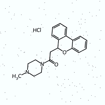 CN1CCN(C(=O)CC2Oc3ccccc3-c3ccccc32)CC1.Cl